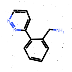 NCc1ccccc1-c1cccnn1